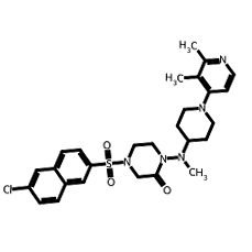 Cc1nccc(N2CCC(N(C)N3CCN(S(=O)(=O)c4ccc5cc(Cl)ccc5c4)CC3=O)CC2)c1C